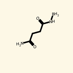 BNC(=O)CCC(N)=O